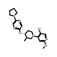 COc1cc(N2CC[C@@H](Oc3cnc(N4CCCC4)cn3)C(C)C2)c(Cl)cn1